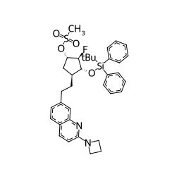 CC(C)(C)[Si](O[C@@H]1[C@@H](CCc2ccc3ccc(N4CCC4)nc3c2)C[C@H](OS(C)(=O)=O)[C@H]1F)(c1ccccc1)c1ccccc1